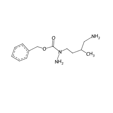 CC(CN)CCN(N)C(=O)OCc1ccccc1